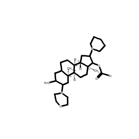 CCC(=O)OC1C(N2CCCCC2)C[C@H]2[C@@H]3CCC4CC(OC(C)=O)C(N5CCOCC5)C[C@]4(C)[C@@H]3CC[C@]12C